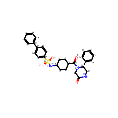 O=C1CN(C(=O)C2CCC(NS(=O)(=O)c3ccc(-c4ccccc4)cc3)CC2)[C@@H](c2ccccc2)CN1